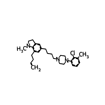 C=CCCc1cc(CCCCN2CCN(c3cccc(C)c3Cl)CC2)cc2c1N(C)CC2